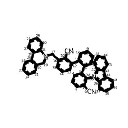 N#Cc1cccc(-c2ccccc2-c2cccc(CN3Cc4ccccc4-c4ccccc43)c2C#N)c1-n1c2ccccc2c2ccccc21